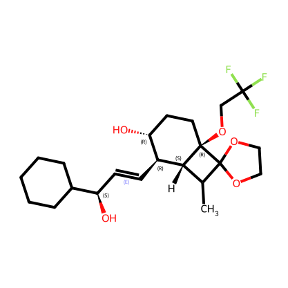 CC1[C@@H]2[C@@H](/C=C/[C@@H](O)C3CCCCC3)[C@H](O)CC[C@]2(OCC(F)(F)F)C12OCCO2